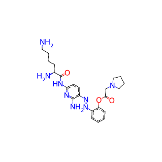 NCCCC[C@H](N)C(=O)Nc1ccc(/N=N/c2ccccc2OC(=O)CN2CCCC2)c(N)n1